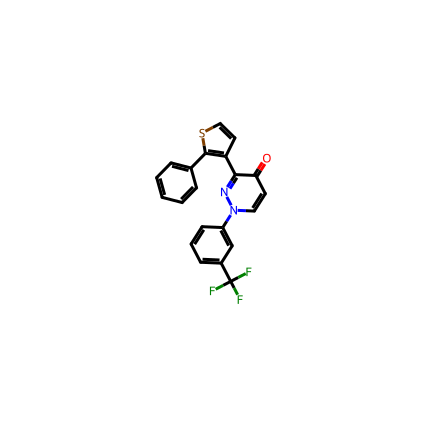 O=c1ccn(-c2cccc(C(F)(F)F)c2)nc1-c1ccsc1-c1ccccc1